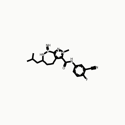 CC(C)CC1CCc2c(nn(C)c2C(=O)Nc2ccc(F)c(C#N)c2)S(=N)N1